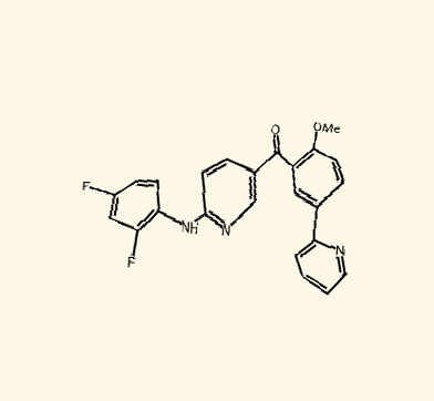 COc1ccc(-c2ccccn2)cc1C(=O)c1ccc(Nc2ccc(F)cc2F)nc1